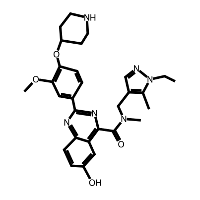 CCn1ncc(CN(C)C(=O)c2nc(-c3ccc(OC4CCNCC4)c(OC)c3)nc3ccc(O)cc23)c1C